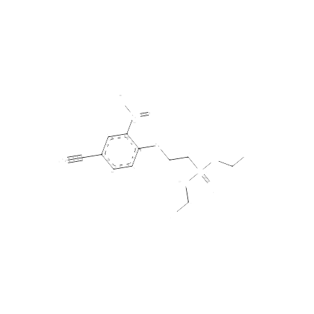 CCOP(=O)(CCNc1ccc(C#N)cc1[N+](=O)[O-])OCC